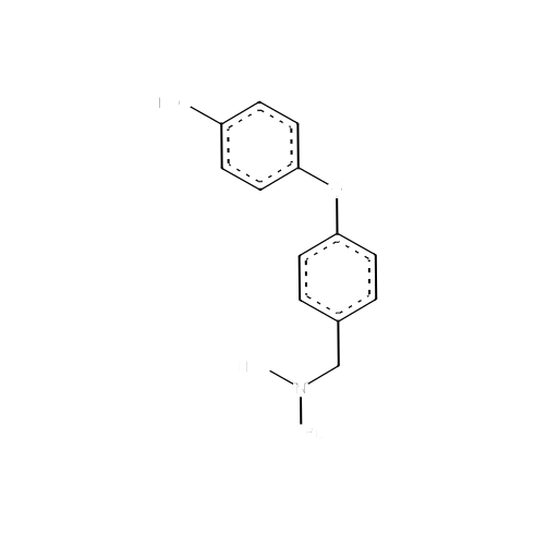 Cc1ccc(Oc2ccc(CN(C)C(C)(C)C)cc2)cc1